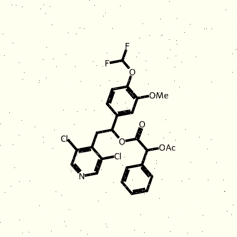 COc1cc(C(Cc2c(Cl)cncc2Cl)OC(=O)C(OC(C)=O)c2ccccc2)ccc1OC(F)F